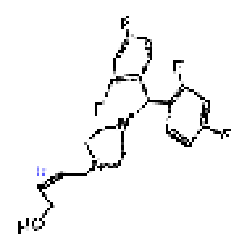 OC/C=C\CN1CCN(C(c2ccc(F)cc2F)c2ccc(F)cc2F)CC1